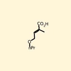 [CH2]CCOCC=C(C)C(=O)O